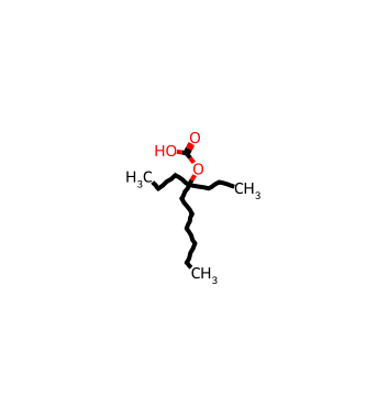 CCCCCCC(CCC)(CCC)OC(=O)O